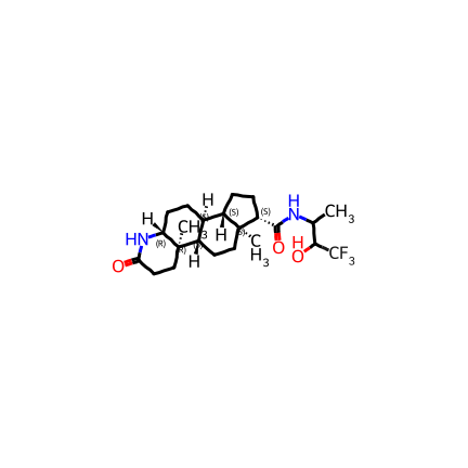 CC(NC(=O)[C@H]1CC[C@H]2[C@@H]3CC[C@H]4NC(=O)CC[C@]4(C)[C@H]3CC[C@]12C)C(O)C(F)(F)F